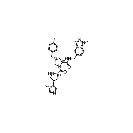 Cc1ccc(C[C@@H]2C[C@@H](C(=O)NCc3ccc4c(c3)nnn4C)N(C(=O)[C@H]3CC(c4cncn4C)CN3)C2)cc1